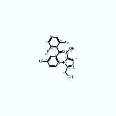 O=C(c1cc(Cl)ccc1-n1c(CO)nnc1CO)c1c(F)cccc1F